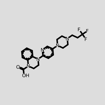 O=C(O)N1CCN(c2ccc(N3CCN(CCC(F)(F)F)CC3)cn2)c2ccccc21